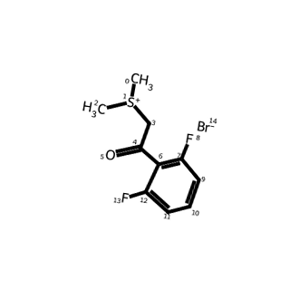 C[S+](C)CC(=O)c1c(F)cccc1F.[Br-]